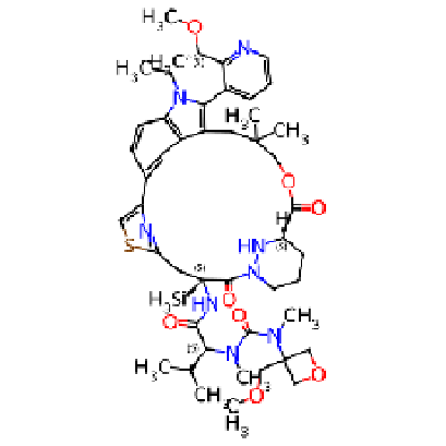 CCn1c(-c2cccnc2[C@H](C)OC)c2c3cc(ccc31)-c1csc(n1)C[C@@]([SiH3])(NC(=O)[C@H](C(C)C)N(C)C(=O)N(C)C1(COC)COC1)C(=O)N1CCC[C@H](N1)C(=O)OCC(C)(C)C2